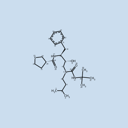 CC(C)CCN(C[C@@H](O)[C@H](Cc1ccccc1)NC(=O)[C@@H]1CCSC1)C(=O)NC(C)(C)C